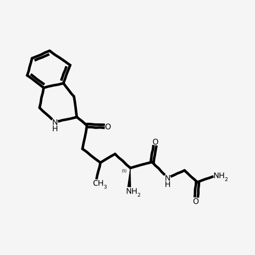 CC(CC(=O)C1Cc2ccccc2CN1)C[C@H](N)C(=O)NCC(N)=O